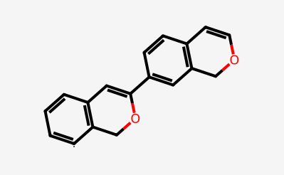 [c]1cccc2c1COC(c1ccc3c(c1)COC=C3)=C2